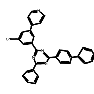 Brc1cc(-c2ccncc2)cc(-c2nc(-c3ccccc3)nc(-c3ccc(-c4ccccc4)cc3)n2)c1